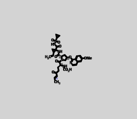 C=CC1CC1(NC(=O)[C@@H]1C[C@@H](Oc2nccc3cc(OC)ccc23)CN1C(=O)[C@H](CCC(=O)/C=C/C)NC(=O)O)C(=O)NS(=O)(=O)C1CC1